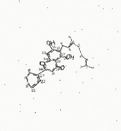 CC(C)=CCC/C(C)=C/Cc1c(O)cc2oc(-c3ccccc3)cc(=O)c2c1O